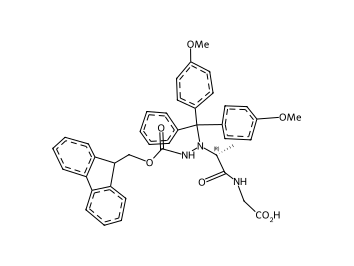 COc1ccc(C(c2ccccc2)(c2ccc(OC)cc2)N(NC(=O)OCC2c3ccccc3-c3ccccc32)[C@H](C)C(=O)NCC(=O)O)cc1